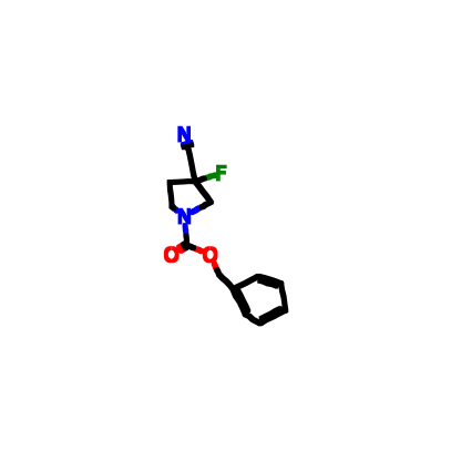 N#CC1(F)CCN(C(=O)OCc2ccccc2)C1